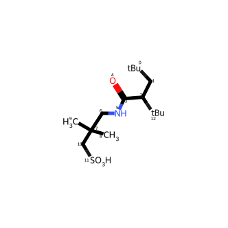 CC(C)(C)CC(C(=O)NCC(C)(C)CS(=O)(=O)O)C(C)(C)C